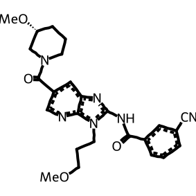 COCCCn1c(NC(=O)c2cccc(C#N)c2)nc2cc(C(=O)N3CCC[C@@H](OC)C3)cnc21